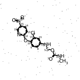 CNC(=O)OSNc1ccc(Oc2ccc([N+](=O)[O-])cn2)c(Cl)c1